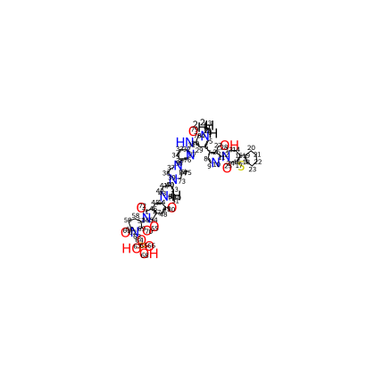 [2H]C([2H])([2H])n1cc(-c2ccnc(N3CCc4c(sc5c4CCCC5)C3=O)c2CO)cc(Nc2ccc(N3CCN([C@@H]4CCN5c6cc7c(cc6OC[C@H]5C4)C(=O)N(C4CCC(=O)N(COP(=O)(O)O)C4=O)C7=O)C[C@@H]3C)cn2)c1=O